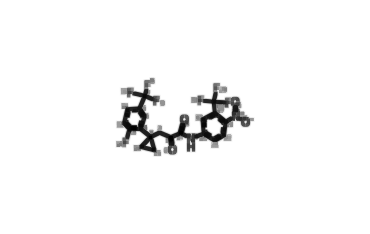 O=C(CC1(c2cc(C(F)(F)F)ccc2F)CC1)C(=O)Nc1ccc([N+](=O)[O-])c(C(F)(F)F)c1